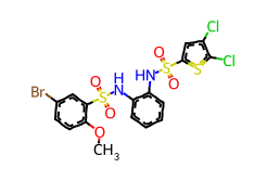 COc1ccc(Br)cc1S(=O)(=O)Nc1ccccc1NS(=O)(=O)c1cc(Cl)c(Cl)s1